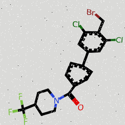 O=C(c1ccc(-c2cc(Cl)c(CBr)c(Cl)c2)cc1)N1CCC(C(F)(F)F)CC1